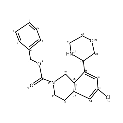 O=C(OCc1ccccc1)N1CCc2cc(Cl)cc(C3COCCN3)c2C1